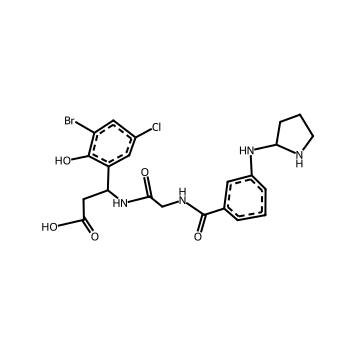 O=C(O)CC(NC(=O)CNC(=O)c1cccc(NC2CCCN2)c1)c1cc(Cl)cc(Br)c1O